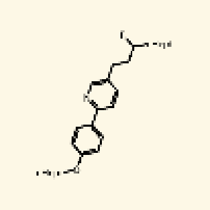 CCCCCCCOc1ccc(-c2ccc(CCC(F)CCCCCCC)cn2)cc1